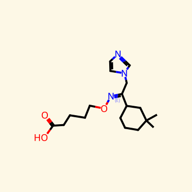 CC1(C)CCCC(/C(Cn2ccnc2)=N\OCCCCC(=O)O)C1